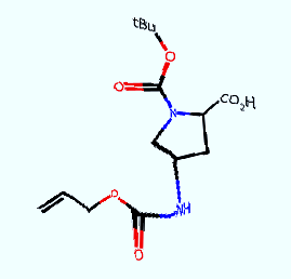 C=CCOC(=O)NC1CC(C(=O)O)N(C(=O)OC(C)(C)C)C1